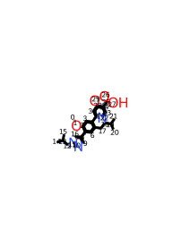 COc1cc2c(cc1-c1cnn(CC(C)C)c1)CC(C(C)C)n1cc(C(=O)O)c(=O)cc1-2